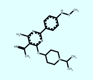 CSNc1ccc(-c2nc(N)c(C(C)=N)c(OC3CCN(C(C)C)CC3)n2)cc1